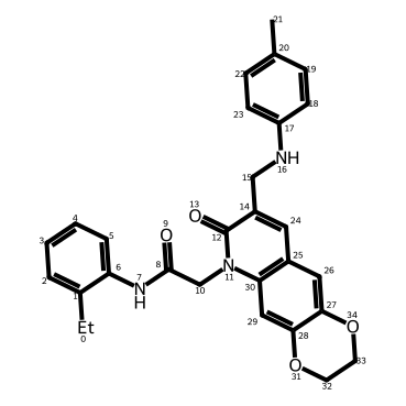 CCc1ccccc1NC(=O)Cn1c(=O)c(CNc2ccc(C)cc2)cc2cc3c(cc21)OCCO3